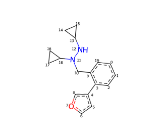 c1ccc(-c2ccoc2)c(CN(NC2CC2)C2CC2)c1